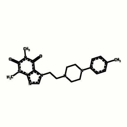 Cc1ccc(N2CCN(CCn3cnc4c3c(=O)n(C)c(=O)n4C)CC2)cc1